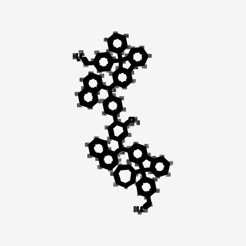 C=Cc1ccc(C2(C3=CCC=CC=C3)c3ccccc3-c3ccc(N(C4=CC(C)C(c5ccc(N(c6ccc7c(c6)C(c6ccccc6)(c6ccc(C=C)cc6)c6ccccc6-7)c6cccc7ccccc67)cc5)C=C4)c4cccc5ccccc45)cc32)cc1